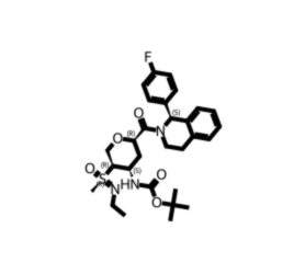 CCN=[S@](C)(=O)[C@H]1CO[C@@H](C(=O)N2CCc3ccccc3[C@@H]2c2ccc(F)cc2)C[C@@H]1NC(=O)OC(C)(C)C